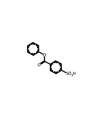 O=C(Oc1ccccc1)c1ccc(S(=O)(=O)O)cc1